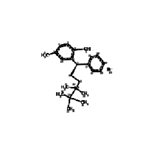 Cc1ccc(O)c([C@H](CC[N+](C)(C)C(C)(C)C)c2ccccc2)c1.[Br-]